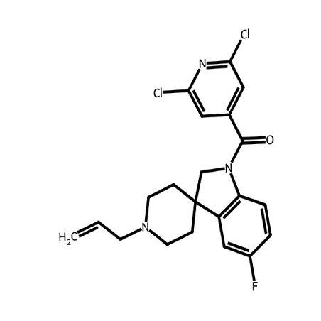 C=CCN1CCC2(CC1)CN(C(=O)c1cc(Cl)nc(Cl)c1)c1ccc(F)cc12